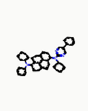 c1ccc(-c2cnc(N(c3ccccc3)c3ccc4ccc5c(N(c6ccccc6)c6ccccc6)ccc6ccc3c4c65)nc2)cc1